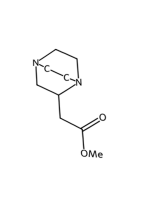 COC(=O)CC1CN2CCN1CC2